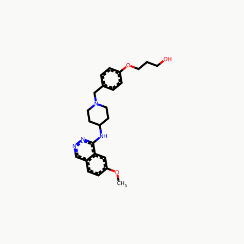 COc1ccc2cnnc(NC3CCN(Cc4ccc(OCCCO)cc4)CC3)c2c1